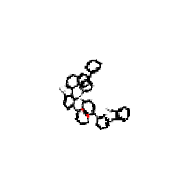 c1ccc(-c2ccc(N(c3ccc(-c4cccc5c4sc4ccccc45)cc3)c3c(-c4ccccc4)ccc4oc5ccc6ccccc6c5c34)cc2)cc1